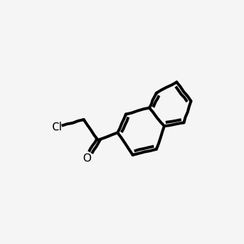 O=C(CCl)c1ccc2ccccc2c1